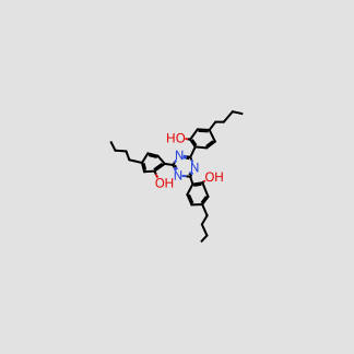 CCCCc1ccc(-c2nc(-c3ccc(CCCC)cc3O)nc(-c3ccc(CCCC)cc3O)n2)c(O)c1